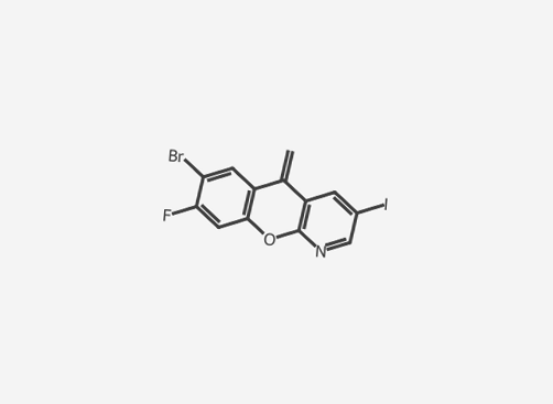 C=C1c2cc(Br)c(F)cc2Oc2ncc(I)cc21